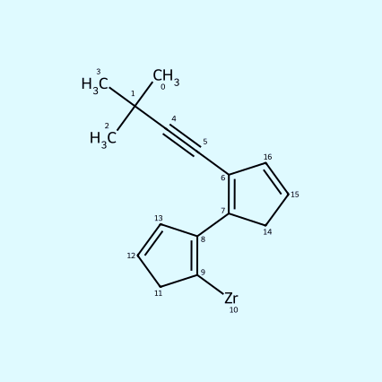 CC(C)(C)C#CC1=C(C2=[C]([Zr])CC=C2)CC=C1